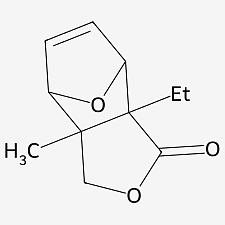 CCC12C(=O)OCC1(C)C1C=CC2O1